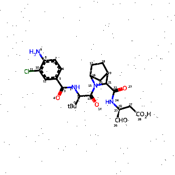 CC(C)(C)C(NC(=O)c1ccc(N)c(Cl)c1)C(=O)N1C2CCC(C2)C1C(=O)N[C@H](C=O)CC(=O)O